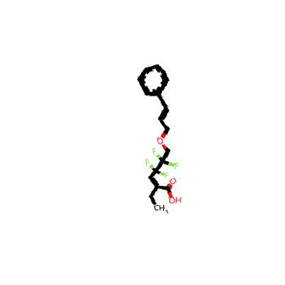 CCC(=CC(F)(F)C(F)(F)COCC=Cc1ccccc1)C(=O)O